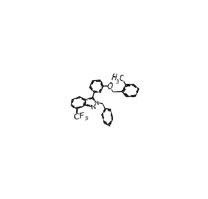 Cc1ccccc1COc1cccc(-c2c3cccc(C(F)(F)F)c3nn2Cc2ccccc2)c1